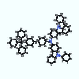 c1ccc(-n2c3ccccc3c3cc(N(c4ccc(-c5ccc([Si](c6ccccc6)(c6ccccc6)c6ccccc6)cc5)cc4)c4ccc5c(c4)c4cccc6c7ccccc7n5c64)ccc32)cc1